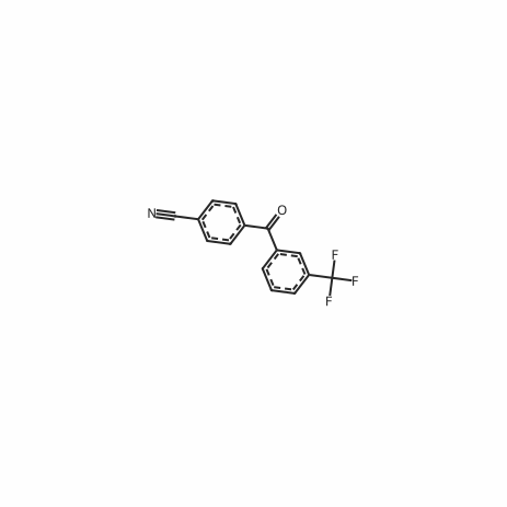 N#Cc1ccc(C(=O)c2cccc(C(F)(F)F)c2)cc1